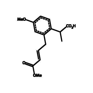 COC(=O)C=CCc1cc(OC)ccc1C(C)C(=O)O